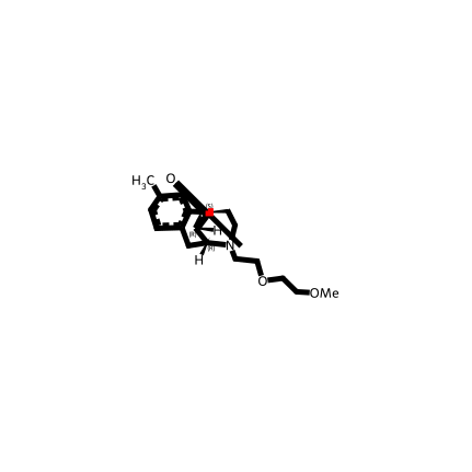 COCCOCCN1CC[C@]23CC(=O)CC[C@H]2[C@H]1Cc1ccc(C)cc13